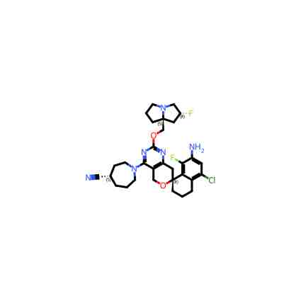 N#C[C@H]1CCCN(c2nc(OC[C@@]34CCCN3C[C@H](F)C4)nc3c2CO[C@]2(CCCc4c(Cl)cc(N)c(F)c42)C3)CC1